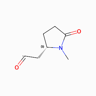 CN1C(=O)CC[C@H]1C[C]=O